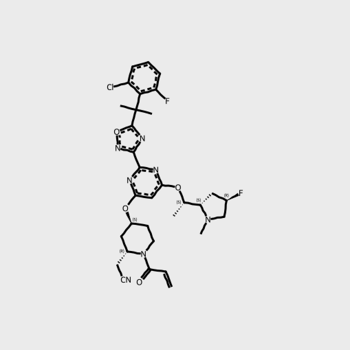 C=CC(=O)N1CC[C@H](Oc2cc(O[C@@H](C)[C@@H]3C[C@@H](F)CN3C)nc(-c3noc(C(C)(C)c4c(F)cccc4Cl)n3)n2)C[C@H]1CC#N